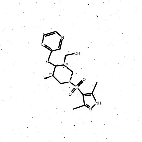 Cc1n[nH]c(C)c1S(=O)(=O)N1C[C@H](CO)C(Oc2cnccn2)[C@H](C)C1